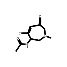 CC(=O)NC1CN(C)CC(=O)C=C1Cl